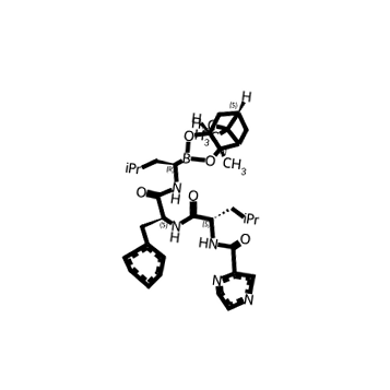 CC(C)C[C@H](NC(=O)[C@H](Cc1ccccc1)NC(=O)[C@H](CC(C)C)NC(=O)c1cnccn1)B1O[C@@H]2C[C@@H]3CC(C3(C)C)[C@]2(C)O1